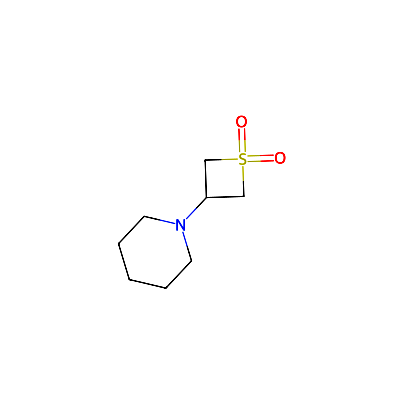 O=S1(=O)CC(N2CCCCC2)C1